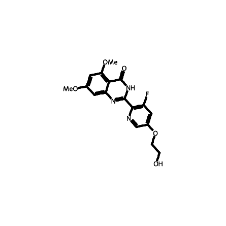 COc1cc(OC)c2c(=O)[nH]c(-c3ncc(OCCO)cc3F)nc2c1